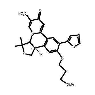 COCCCOc1cc2c(cc1-c1cnco1)-c1cc(=O)c(C(=O)O)cn1C1[C@@H]2COC1(C)C